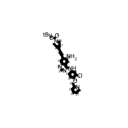 CC(C)(C)OC(=O)N1CC2C(C#Cc3cc4ncnc(Nc5ccc(OCc6ccccn6)c(Cl)c5)c4cc3N)C2C1